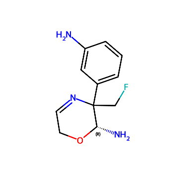 Nc1cccc(C2(CF)N=CCO[C@H]2N)c1